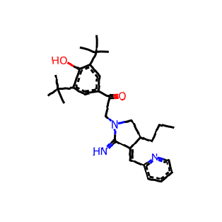 CCCC1CN(CC(=O)c2cc(C(C)(C)C)c(O)c(C(C)(C)C)c2)C(=N)/C1=C/c1ccccn1